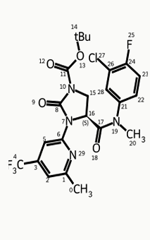 Cc1cc(C(F)(F)F)cc(N2C(=O)N(C(=O)OC(C)(C)C)C[C@H]2C(=O)N(C)c2ccc(F)c(Cl)c2)n1